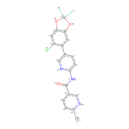 O=C(Nc1ccc(-c2cc3c(cc2Cl)OC(F)(F)O3)cn1)c1ccc(C(F)(F)F)nc1